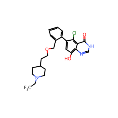 O=c1[nH]cnc2c(O)cc(-c3ccccc3COCCC3CCN(CC(F)(F)F)CC3)c(Cl)c12